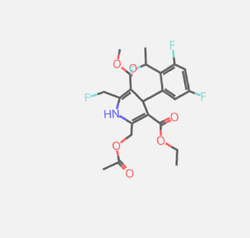 CCOC(=O)C1=C(COC(C)=O)NC(CF)=C(C(=O)OC)C1c1cc(F)cc(F)c1C(C)F